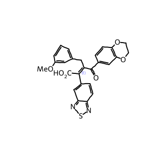 COc1cccc(C/C(C(=O)c2ccc3c(c2)OCCO3)=C(\C(=O)O)c2ccc3nsnc3c2)c1